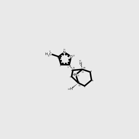 Cc1cc([C@H]2C[C@@H]3CCC[C@H]2N3)on1